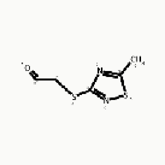 Cc1nc(SC[C]=O)ns1